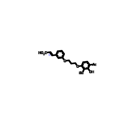 CCC(C)c1c(OCCCOc2cccc(/C=C/C(=O)O)c2)ccc(C(C)=O)c1O